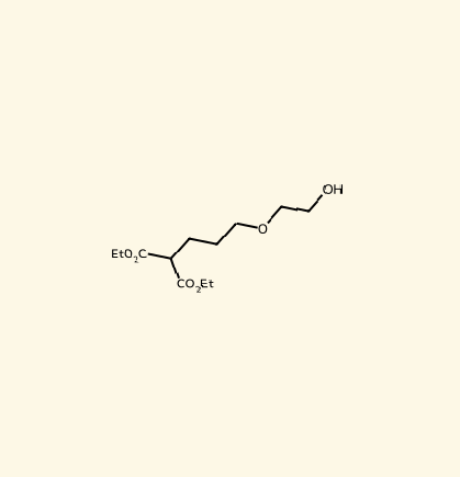 CCOC(=O)C(CCCOCCO)C(=O)OCC